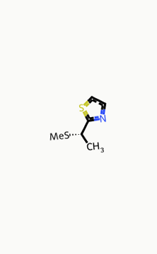 CS[C@@H](C)c1nccs1